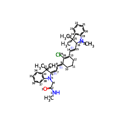 CNC(=O)CN1/C(=C/C=C2\CCCC(/C=C/C3N(C)c4ccccc4C3(C)C)=C2Cl)C(C)(C)c2ccccc21